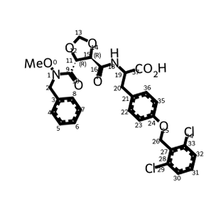 CON(Cc1ccccc1)C(=O)[C@@H]1OCO[C@H]1C(=O)NC(Cc1ccc(OCc2c(Cl)cccc2Cl)cc1)C(=O)O